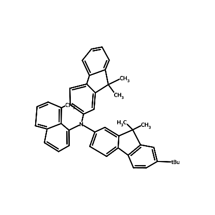 Cc1cccc2cccc(N(c3ccc4c(c3)C(C)(C)c3ccccc3-4)c3ccc4c(c3)C(C)(C)c3cc(C(C)(C)C)ccc3-4)c12